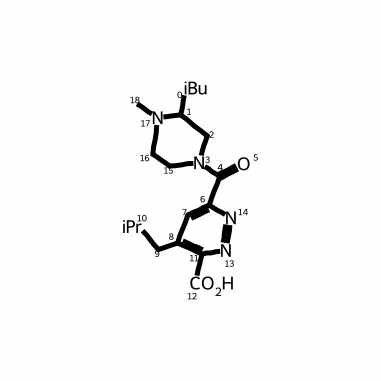 CCC(C)C1CN(C(=O)c2cc(CC(C)C)c(C(=O)O)nn2)CCN1C